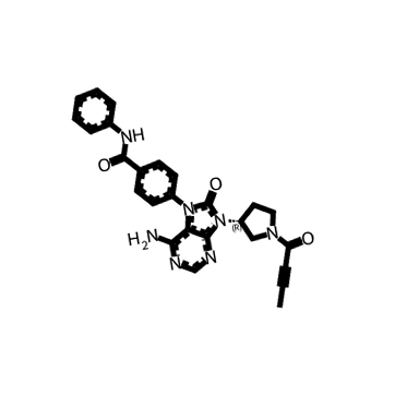 CC#CC(=O)N1CC[C@@H](n2c(=O)n(-c3ccc(C(=O)Nc4ccccc4)cc3)c3c(N)ncnc32)C1